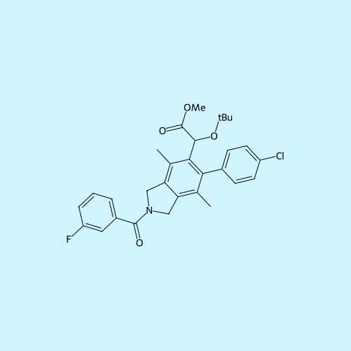 COC(=O)C(OC(C)(C)C)c1c(C)c2c(c(C)c1-c1ccc(Cl)cc1)CN(C(=O)c1cccc(F)c1)C2